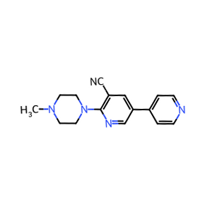 CN1CCN(c2ncc(-c3ccncc3)cc2C#N)CC1